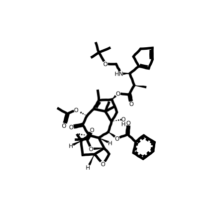 CC(=O)O[C@H]1C(=O)[C@]23C[C@H]2C[C@H]2OC[C@@]2(OC(C)=O)[C@H]3[C@H](OC(=O)c2ccccc2)[C@]2(O)C[C@H](OC(=O)[C@H](C)[C@@H](NCOC(C)(C)C)C3=CC=CCC3)C(C)=C1C2(C)C